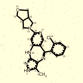 Cc1[nH]nc2c1N=C(c1ccccc1Cl)c1cnc(N3CC4COCC4C3)cc1N2